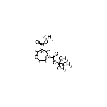 COC(=O)[C@H]1COCCN(C(=O)OC(C)(C)C)C1